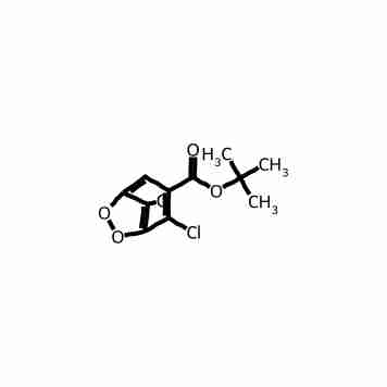 CC(C)(C)OC(=O)c1cc2c(Cl)c(c1Cl)OO2